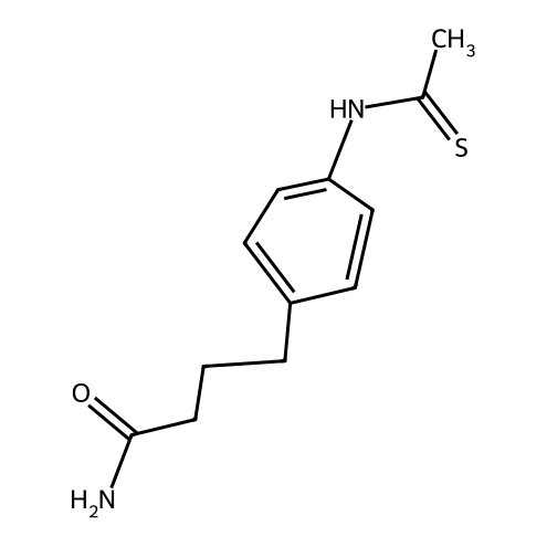 CC(=S)Nc1ccc(CCCC(N)=O)cc1